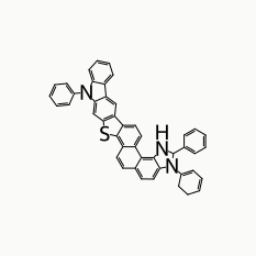 C1=CCCC(N2c3ccc4ccc5c(ccc6c7cc8c9ccccc9n(-c9ccccc9)c8cc7sc65)c4c3NC2c2ccccc2)=C1